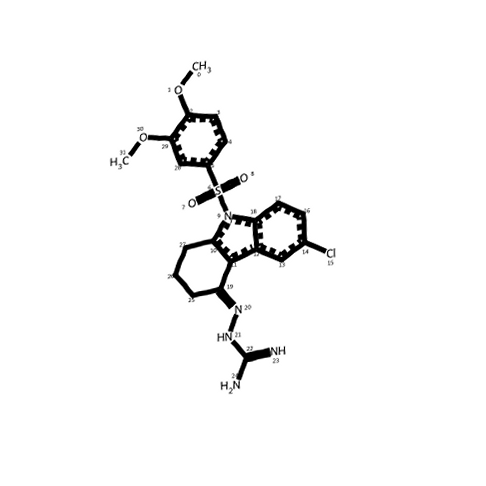 COc1ccc(S(=O)(=O)n2c3c(c4cc(Cl)ccc42)C(=NNC(=N)N)CCC3)cc1OC